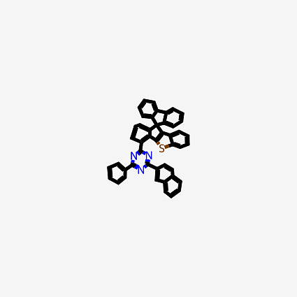 c1ccc(-c2nc(-c3ccc4ccccc4c3)nc(-c3cccc4c3-c3sc5ccccc5c3C43c4ccccc4-c4ccccc43)n2)cc1